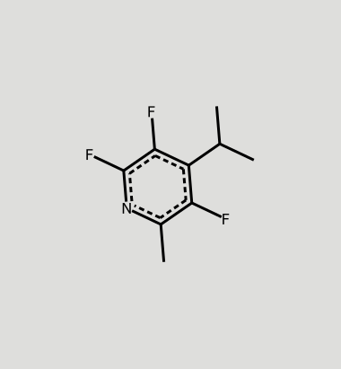 Cc1nc(F)c(F)c(C(C)C)c1F